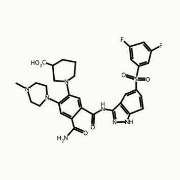 CN1CCN(c2cc(C(N)=O)c(C(=O)Nc3n[nH]c4ccc(S(=O)(=O)c5cc(F)cc(F)c5)cc34)cc2N2CCCC(C(=O)O)C2)CC1